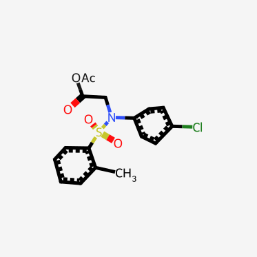 CC(=O)OC(=O)CN(c1ccc(Cl)cc1)S(=O)(=O)c1ccccc1C